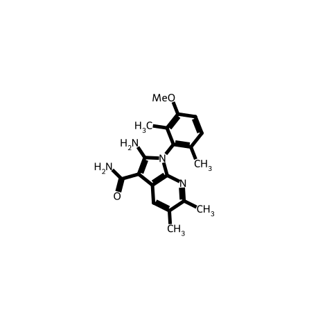 COc1ccc(C)c(-n2c(N)c(C(N)=O)c3cc(C)c(C)nc32)c1C